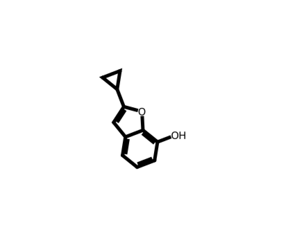 Oc1cccc2cc(C3CC3)oc12